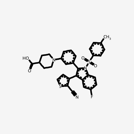 Cc1ccc(S(=O)(=O)n2c(-c3cccc(N4CCC(C(=O)O)CC4)c3)c(-c3ccsc3C#N)c3cc(F)ccc32)cc1